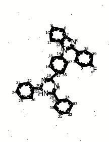 Fc1ccc(-c2nc3ccccc3n2-c2ccc(C3=NC(c4ccccc4)NC(c4ccccc4)=N3)cc2)cc1